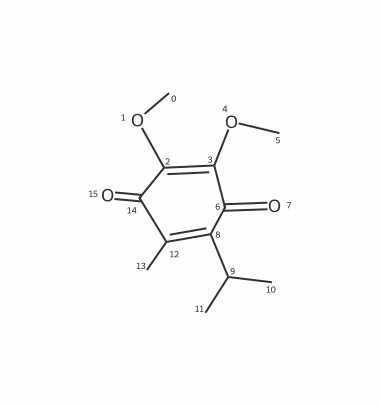 COC1=C(OC)C(=O)C(C(C)C)=C(C)C1=O